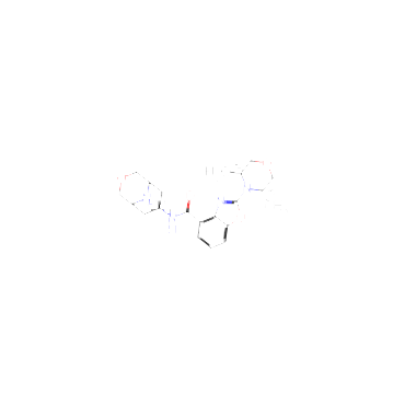 C[C@H]1COC[C@H](C)N1c1nc2c(C(=O)NC3CC4COCC(C3)N4C)cccc2o1